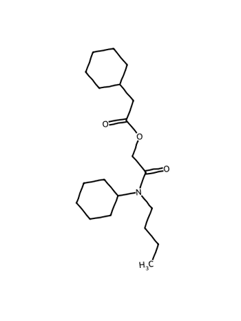 CCCCN(C(=O)COC(=O)CC1CCCCC1)C1CCCCC1